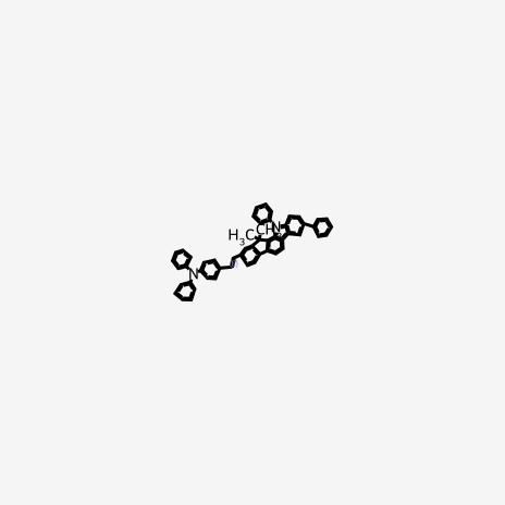 CC1(C)c2cc(/C=C/c3ccc(N(c4ccccc4)c4ccccc4)cc3)ccc2-c2ccc3c4cc(-c5ccccc5)ccc4n(-c4ccccc4)c3c21